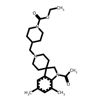 CCOC(=O)N1CCC(CN2CCC3(CC2)CN(C(C)=O)c2c(C)cc(C)cc23)CC1